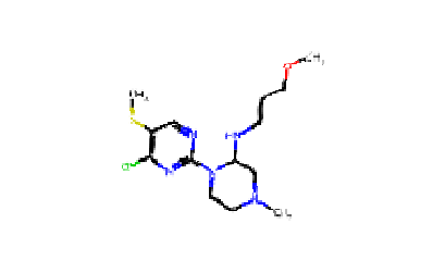 COCCCNC1CN(C)CCN1c1ncc(SC)c(Cl)n1